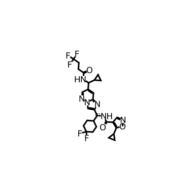 O=C(CCC(F)(F)F)NC(c1cnn2cc([C@@H](NC(=O)c3cnoc3C3CC3)C3CCC(F)(F)CC3)nc2c1)C1CC1